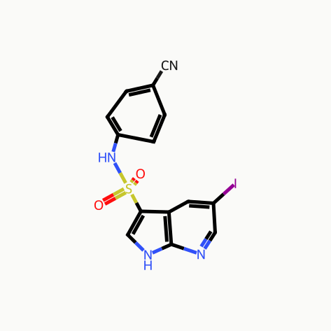 N#Cc1ccc(NS(=O)(=O)c2c[nH]c3ncc(I)cc23)cc1